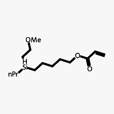 C=CC(=O)OCCCCC[SiH](CCC)CCOC